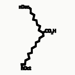 CCCCCCCCC=CCCCCCCCCCCC(CCCCCCCCCCCCCCCCCC)C(=O)O